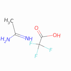 CC(=N)N.O=C(O)C(F)(F)F